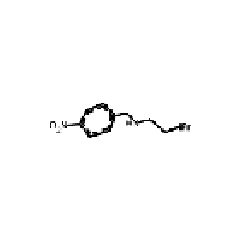 CC(C)CCNCc1ccc([N+](=O)[O-])cc1